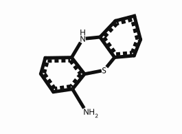 Nc1cccc2c1Sc1ccccc1N2